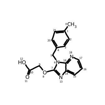 Cc1ccc(Cn2c(OCC(=O)O)nc3cccnc32)cc1